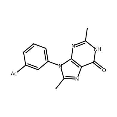 CC(=O)c1cccc(-n2c(C)nc3c(=O)[nH]c(C)nc32)c1